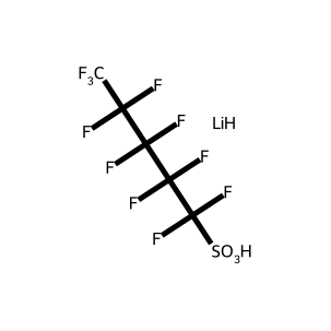 O=S(=O)(O)C(F)(F)C(F)(F)C(F)(F)C(F)(F)C(F)(F)F.[LiH]